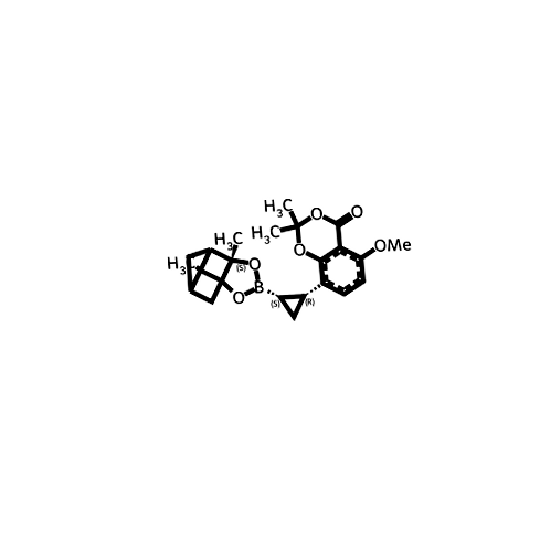 COc1ccc([C@@H]2C[C@@H]2B2OC34CC5CC(C53C)[C@]4(C)O2)c2c1C(=O)OC(C)(C)O2